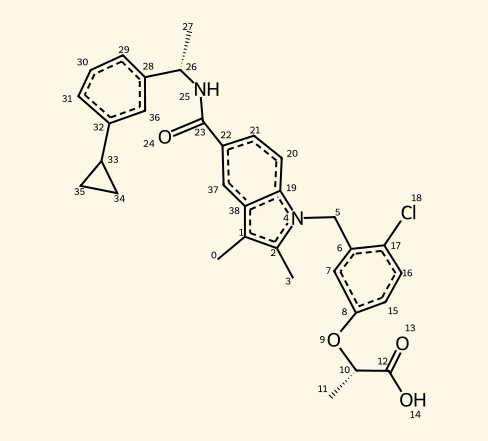 Cc1c(C)n(Cc2cc(O[C@@H](C)C(=O)O)ccc2Cl)c2ccc(C(=O)N[C@@H](C)c3cccc(C4CC4)c3)cc12